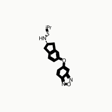 CC(C)SN[C@H]1Cc2ccc(Oc3ccc4nonc4c3)cc2C1